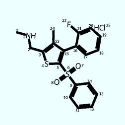 CNCc1sc(S(=O)(=O)c2ccccc2)c(-c2ccccc2F)c1C.Cl